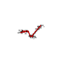 CCCN(CCC)C(=O)C1=Cc2ccc(C(=O)Nc3cnc4c(c3)CN(CCCCCCNC(=O)C(CC(=O)O)SCC(NC(=O)CCOCCOCCOCCOCCNC(=O)CNC(=O)CNC(=O)CN)C(N)=O)CC4)cc2N=C(N)C1